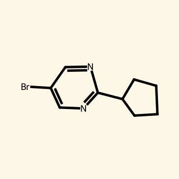 Brc1cnc(C2CCCC2)nc1